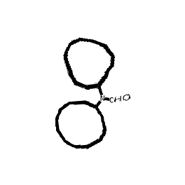 O=CN(C1CCCCCCCCCCC1)C1CCCCCCCCCCC1